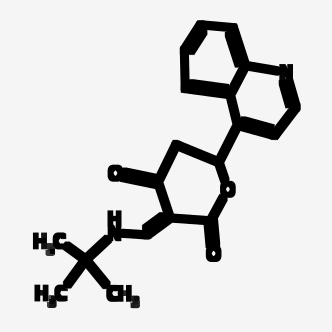 CC(C)(C)N/C=C1\C(=O)CC(c2ccnc3ccccc23)OC1=O